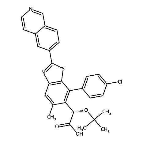 Cc1cc2nc(-c3ccc4cnccc4c3)sc2c(-c2ccc(Cl)cc2)c1[C@H](OC(C)(C)C)C(=O)O